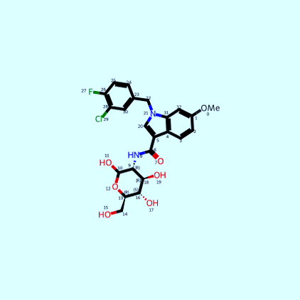 COc1ccc2c(C(=O)N[C@H]3C(O)O[C@H](CO)[C@@H](O)[C@@H]3O)cn(Cc3ccc(F)c(Cl)c3)c2c1